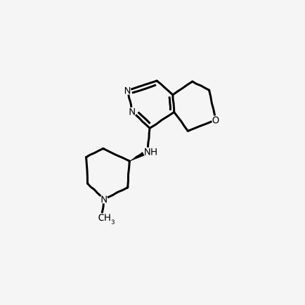 CN1CCC[C@@H](Nc2nncc3c2COCC3)C1